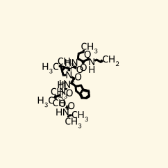 C=CCNC(=O)C(=O)C(CCC)NC(=O)[C@@H]1C2C(CN1C(=O)[C@@H](NC(=O)N[C@H](COC(=O)NC(C)C)C(C)(C)C)C1Cc3ccccc3C1)C2(C)C